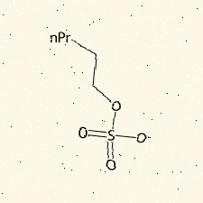 CCCCCOS([O])(=O)=O